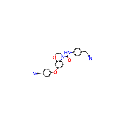 N#CCc1ccc(NC(=O)N2CCOc3cc(Oc4ccc(C#N)cc4)ccc32)cc1